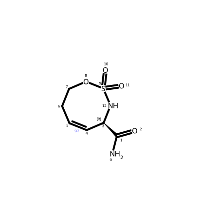 NC(=O)[C@H]1/C=C\CCOS(=O)(=O)N1